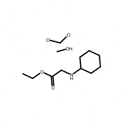 CCOC(=O)CNC1CCCCC1.CO.ClCCl